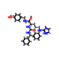 O=C(NC(CCCNc1ncc[nH]1)C(=O)NCc1ccc(O)cc1)NC(c1ccccc1)c1ccccc1